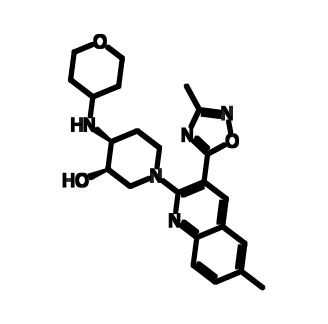 Cc1ccc2nc(N3CC[C@H](NC4CCOCC4)[C@H](O)C3)c(-c3nc(C)no3)cc2c1